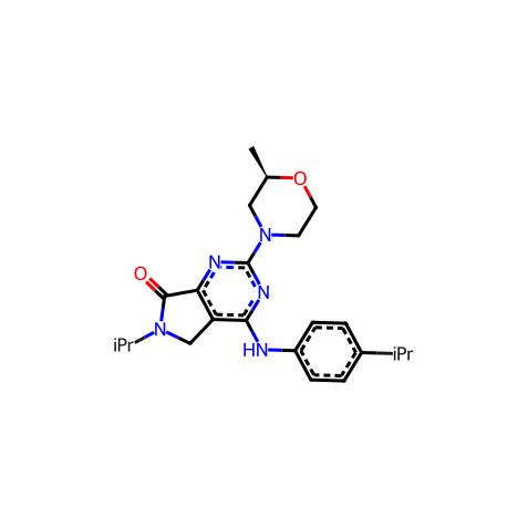 CC(C)c1ccc(Nc2nc(N3CCO[C@H](C)C3)nc3c2CN(C(C)C)C3=O)cc1